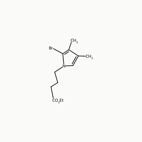 CCOC(=O)CCCn1cc(C)c(C)c1Br